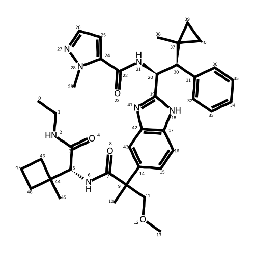 CCNC(=O)[C@H](NC(=O)C(C)(COC)c1ccc2[nH]c([C@@H](NC(=O)c3ccnn3C)[C@H](c3ccccc3)C3(C)CC3)nc2c1)C1(C)CCC1